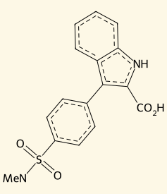 CNS(=O)(=O)c1ccc(-c2c(C(=O)O)[nH]c3ccccc23)cc1